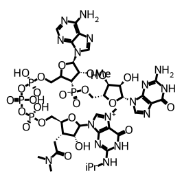 CO[C@H]1[C@H](n2cnc3c(N)ncnc32)OC(COP(=O)(O)OP(=O)(O)OP(=O)(O)OC[C@H]2OC(n3c[n+](C)c4c(=O)[nH]c(NC(C)C)nc43)[C@H](O)[C@@H]2CC(=O)N(C)C)[C@H]1P(=O)([O-])OC[C@H]1O[C@@H](n2cnc3c(=O)[nH]c(N)nc32)[C@H](O)[C@@H]1O